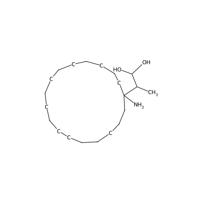 CC(C(O)O)C1(N)CCCCCCCCCCCCCCCCC1